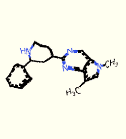 Cc1cn(C)c2cnc(C3CCNC(c4ccccc4)C3)nc12